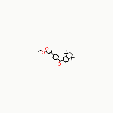 CCOC(=O)C=C(C)c1ccc(C(=O)c2ccc3c(c2)C(C)(C)CCC3(C)C)cc1